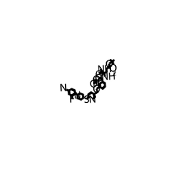 CC(C)(C)OC(=O)CCC(NC(=O)c1cccc(OCc2ccc(SC3CCN(c4ccc(C#N)cc4F)CC3)nc2)c1[N+](=O)[O-])C(N)=O